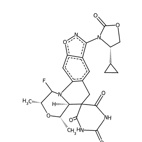 C[C@@H]1O[C@H](C)C(F)N2c3cc4onc(N5C(=O)OC[C@@H]5C5CC5)c4cc3CC3(C(=O)NC(=O)NC3=O)[C@@H]12